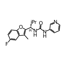 Cc1c([C@H](NC(=O)Nc2cccnc2)C(C)C)oc2ccc(F)cc12